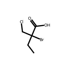 CCC(Br)(CCl)C(=O)O